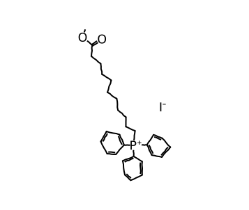 COC(=O)CCCCCCCCCC[P+](c1ccccc1)(c1ccccc1)c1ccccc1.[I-]